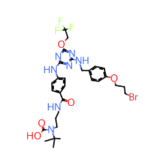 CC(C)(C)N(CCCNC(=O)c1ccc(Nc2nc(NCc3ccc(OCCCBr)cc3)nc(OCC(F)(F)F)n2)cc1)C(=O)O